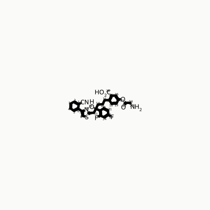 N#Cc1ccccc1-c1csc(C[C@](O)(CCCc2ccc(OC(=O)CN)cc2C(=O)O)c2ccc(F)cc2F)n1